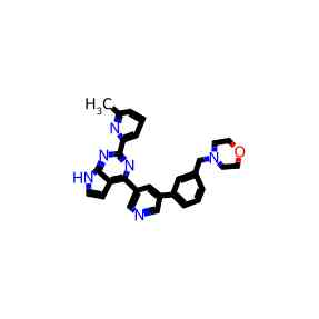 Cc1cccc(-c2nc(-c3cncc(-c4cccc(CN5CCOCC5)c4)c3)c3cc[nH]c3n2)n1